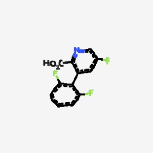 O=C(O)c1ncc(F)cc1-c1c(F)cccc1F